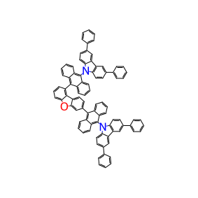 c1ccc(-c2ccc3c(c2)c2cc(-c4ccccc4)ccc2n3-c2c3ccccc3c(-c3ccc4c(c3)oc3cccc(-c5c6ccccc6c(-n6c7ccc(-c8ccccc8)cc7c7cc(-c8ccccc8)ccc76)c6ccccc56)c34)c3ccccc23)cc1